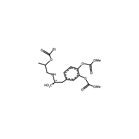 CCC(=O)OC(C)CN[C@@H](Cc1ccc(OC(=O)OC)c(OC(=O)OC)c1)C(=O)O